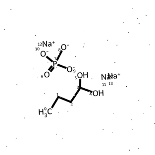 CCCC(O)O.O=P([O-])([O-])[O-].[Na+].[Na+].[Na+]